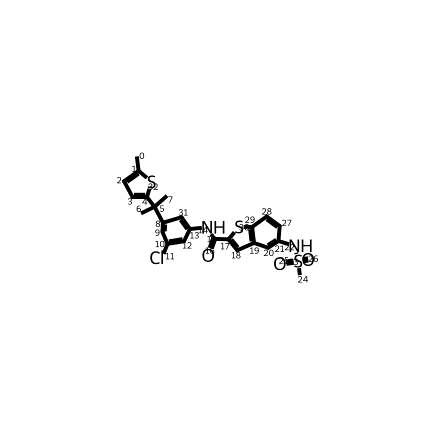 Cc1ccc(C(C)(C)c2cc(Cl)cc(NC(=O)c3cc4cc(NS(C)(=O)=O)ccc4s3)c2)s1